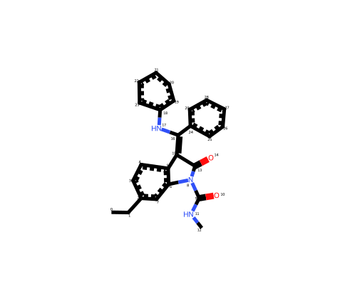 CCc1ccc2c(c1)N(C(=O)NC)C(=O)C2=C(Nc1ccccc1)c1ccccc1